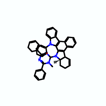 CN1C(c2ccccc2)=NC(C2=CC=CCC2)=NC1N1c2c(c3ccccc3c3c4ccccc4n(C4=CCCC=C4)c23)C2C=CCC[C@H]21